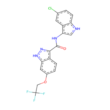 O=C(Nc1c[nH]c2ccc(Cl)cc12)c1n[nH]c2cc(OCC(F)(F)F)ccc12